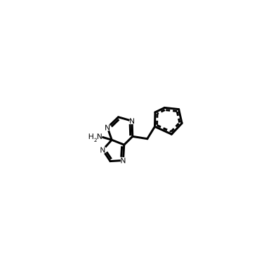 NC12N=CN=C(Cc3ccccc3)C1=NC=N2